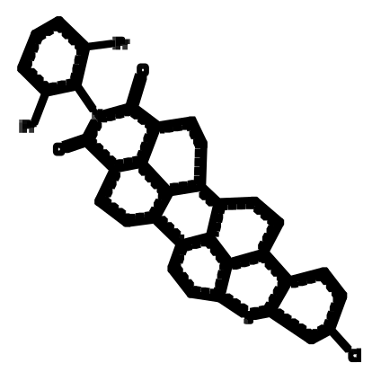 CC(C)c1cccc(C(C)C)c1-n1c(=O)c2ccc3c4ccc5sc6cc(Cl)ccc6c6ccc(c7ccc(c1=O)c2c37)c4c56